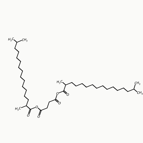 CC(C)CCCCCCCCCCCCC(C)C(=O)OC(=O)CCC(=O)OC(=O)C(C)CCCCCCCCCCCCC(C)C